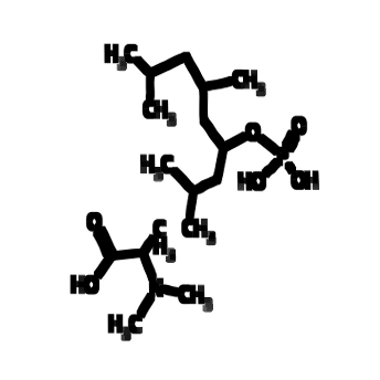 CC(C(=O)O)N(C)C.CC(C)CC(C)CC(CC(C)C)OP(=O)(O)O